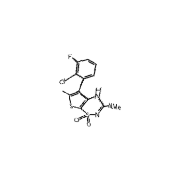 CNC1=NS(=O)(=O)c2sc(C)c(-c3cccc(F)c3Cl)c2N1